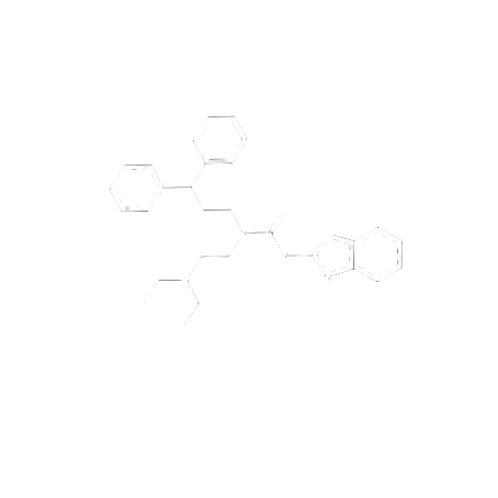 CCN(CC)CCN(CCC(C1=C=C=CC=C1)c1ccccc1)C(=O)Nc1nc2ccccc2s1